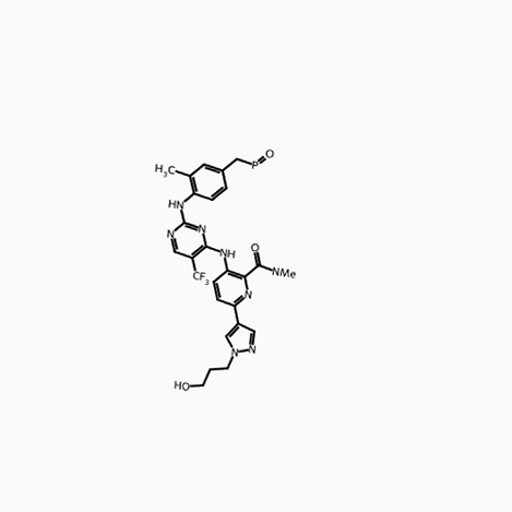 CNC(=O)c1nc(-c2cnn(CCCO)c2)ccc1Nc1nc(Nc2ccc(CP=O)cc2C)ncc1C(F)(F)F